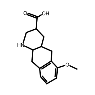 COc1cccc2c1CC1CC(C(=O)O)CNC1C2